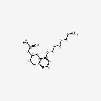 CCCCOCCOc1cccc2c1CC(CC(=O)O)CC2